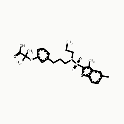 CCCN(CCCc1cccc(OC(C)(C)C(=O)O)c1)S(=O)(=O)c1sc2ccc(F)cc2c1C